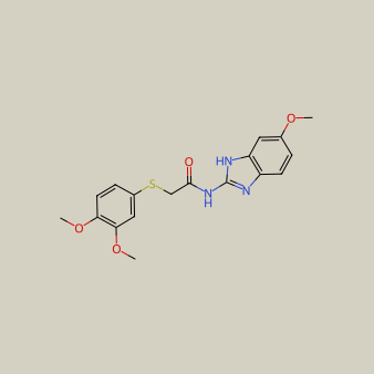 COc1ccc2nc(NC(=O)CSc3ccc(OC)c(OC)c3)[nH]c2c1